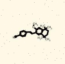 COc1cc2c(cc1C=Cc1ccc(C#N)cc1)C(C)(C)CCC2(C)C